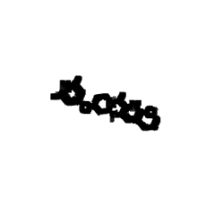 Cc1cc(OC2CCN(C(C)c3nc4c(cc3F)CCCO4)CC2)cc(C)n1